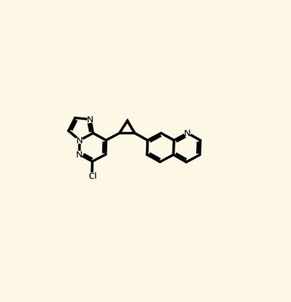 Clc1cc(C2CC2c2ccc3cccnc3c2)c2nccn2n1